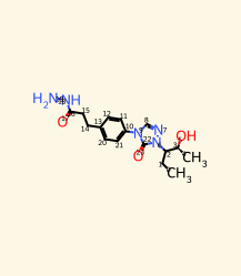 CCC([C@H](C)O)n1ncn(-c2ccc(CCC(=O)NN)cc2)c1=O